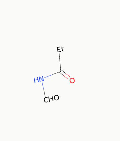 CCC(=O)N[C]=O